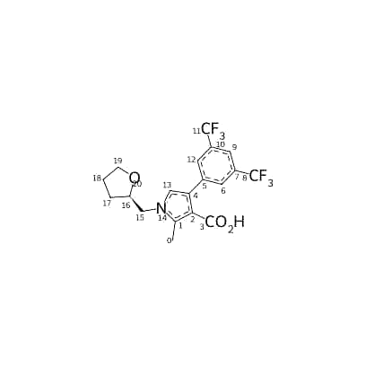 Cc1c(C(=O)O)c(-c2cc(C(F)(F)F)cc(C(F)(F)F)c2)cn1C[C@H]1CCCO1